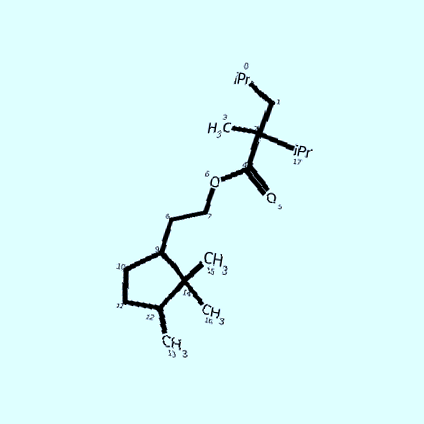 CC(C)CC(C)(C(=O)OCCC1CCC(C)C1(C)C)C(C)C